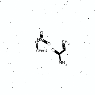 C=CC(N)=O.CCCCCO[SH](=O)=O